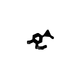 CO.C[C@@H]1C[C@H]1c1ccc(Cl)c(Cl)c1